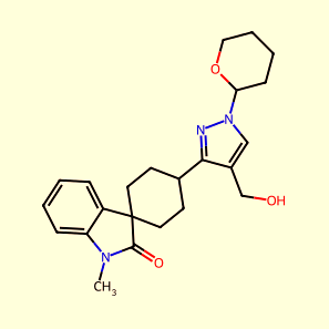 CN1C(=O)C2(CCC(c3nn(C4CCCCO4)cc3CO)CC2)c2ccccc21